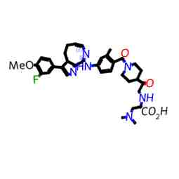 COc1ccc(C2=CN=C3/C(Nc4ccc(C(=O)N5CCC(C(=O)CNC(CN(C)C)C(=O)O)CC5)c(C)c4)=N\C=C/CCC23)cc1F